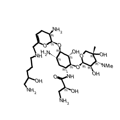 CN[C@@H]1[C@@H](O)[C@@H](O[C@@H]2[C@@H](O)[C@H](O[C@H]3OC(CNCCCC(O)CN)=CC[C@H]3N)[C@@H](N)C[C@H]2NC(=O)[C@@H](O)CN)OC[C@]1(C)O